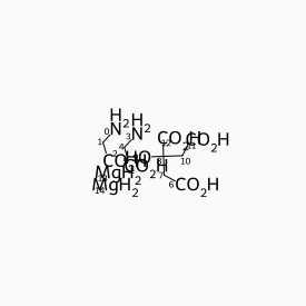 NCC(=O)O.NCC(=O)O.O=C(O)CC(O)(CC(=O)O)C(=O)O.[MgH2].[MgH2]